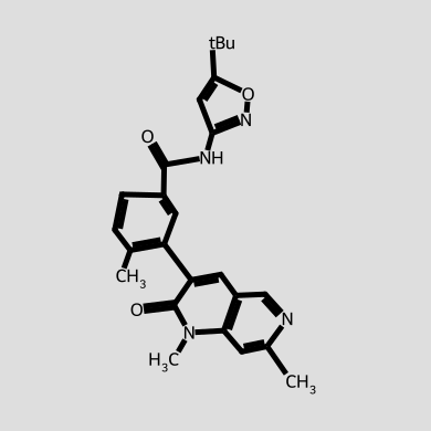 Cc1cc2c(cn1)cc(-c1cc(C(=O)Nc3cc(C(C)(C)C)on3)ccc1C)c(=O)n2C